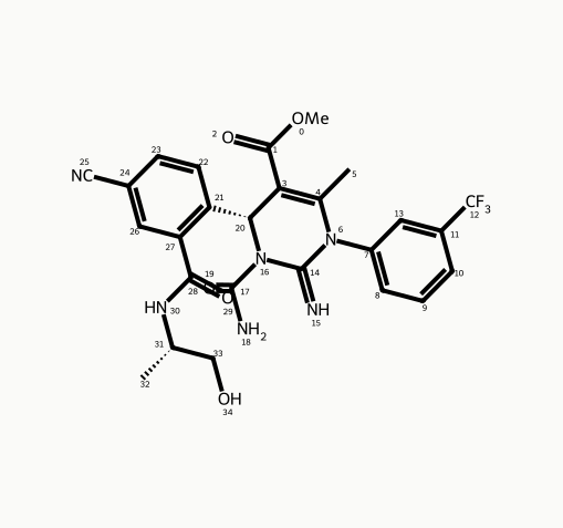 COC(=O)C1=C(C)N(c2cccc(C(F)(F)F)c2)C(=N)N(C(N)=O)[C@@H]1c1ccc(C#N)cc1C(=O)N[C@@H](C)CO